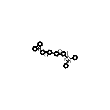 c1ccc(C2=NC(c3ccccc3)NC(c3ccc4oc5cc(-c6ccc7c(c6)oc6ccc(-n8c9ccccc9c9ccccc98)cc67)ccc5c4c3)=N2)cc1